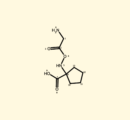 NCC(=O)ONC1(C(=O)O)CCCC1